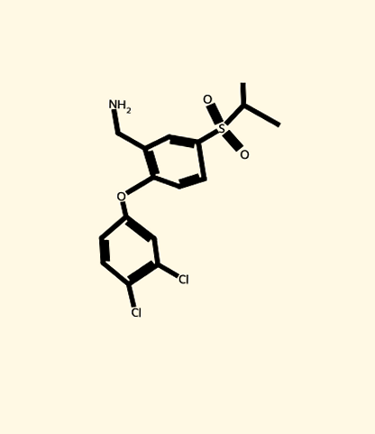 CC(C)S(=O)(=O)c1ccc(Oc2ccc(Cl)c(Cl)c2)c(CN)c1